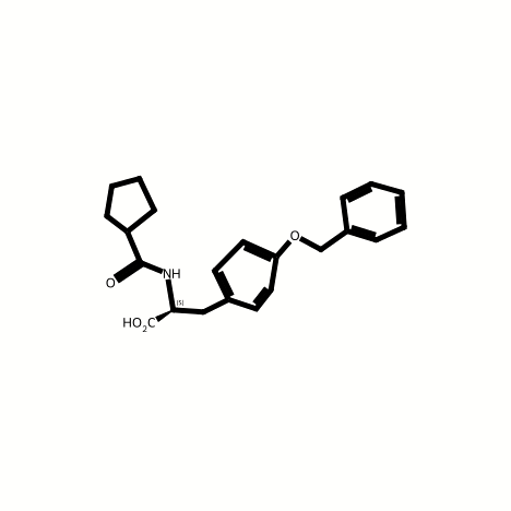 O=C(N[C@@H](Cc1ccc(OCc2ccccc2)cc1)C(=O)O)C1CCCC1